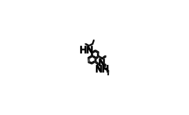 C=c1c2ccc(NC(C)CC)c3cccc(c(=N)n1CCCC)c32